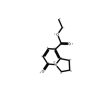 CCOC(=O)c1ccc(=O)n2c1CCC2